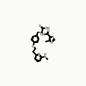 CNc1cccc(CCOc2ccc(C[C@H](NC(=O)c3scnc3C)C(=O)O)cc2)n1